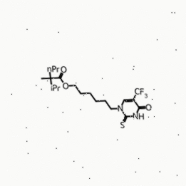 CCCC(C)(C(=O)OCCCCCCn1cc(C(F)(F)F)c(=O)[nH]c1=S)C(C)C